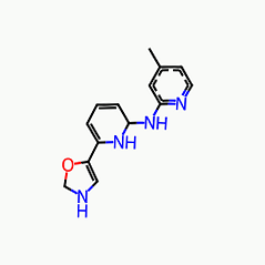 Cc1ccnc(NC2C=CC=C(C3=CNCO3)N2)c1